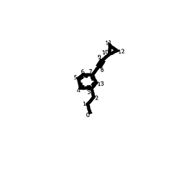 CCCc1cccc(C#CC2CC2)c1